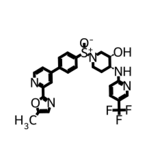 Cc1cnc(-c2cc(-c3ccc([S+]([O-])N4CC[C@@H](Nc5ccc(C(F)(F)F)cn5)[C@@H](O)C4)cc3)ccn2)o1